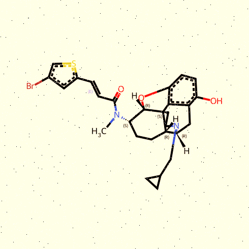 CN(C(=O)/C=C/c1cc(Br)cs1)[C@H]1CC[C@H]2[C@H]3Cc4c(O)ccc5c4[C@@]2(CCN3CC2CC2)[C@H]1O5